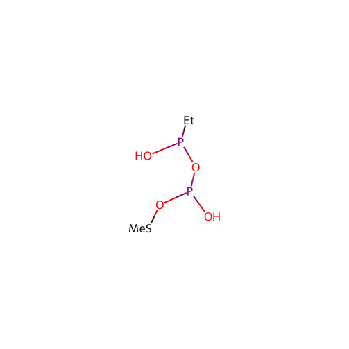 CCP(O)OP(O)OSC